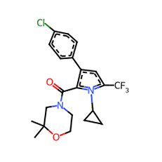 CC1(C)CN(C(=O)c2c(-c3ccc(Cl)cc3)cc(C(F)(F)F)n2C2CC2)CCO1